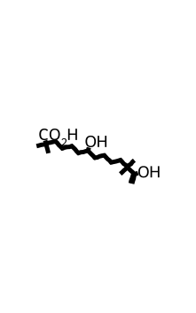 C=C(O)C(C)(C)CCCCC(O)CCCCC(C)(C)C(=O)O